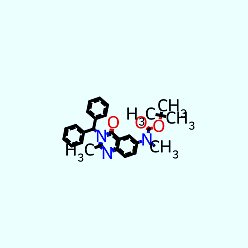 Cc1nc2ccc(N(C)C(=O)OC(C)(C)C)cc2c(=O)n1C(c1ccccc1)c1ccccc1